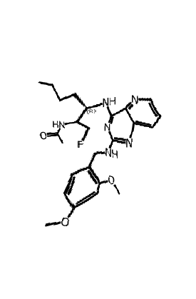 CCCC[C@@H](Nc1nc(NCc2ccc(OC)cc2OC)nc2cccnc12)C(CF)NC(C)=O